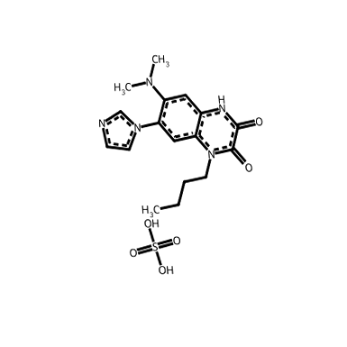 CCCCn1c(=O)c(=O)[nH]c2cc(N(C)C)c(-n3ccnc3)cc21.O=S(=O)(O)O